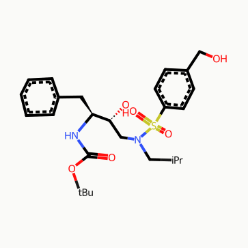 CC(C)CN(C[C@@H](O)[C@H](Cc1ccccc1)NC(=O)OC(C)(C)C)S(=O)(=O)c1ccc(CO)cc1